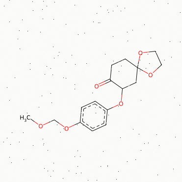 COCOc1ccc(OC2CC3(CCC2=O)OCCO3)cc1